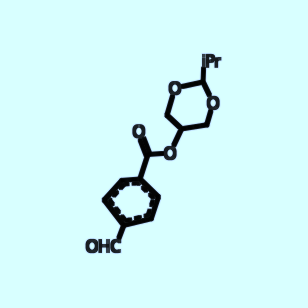 CC(C)C1OCC(OC(=O)c2ccc(C=O)cc2)CO1